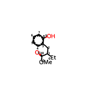 CCC(Cc1ccccc1O)C(=O)OC